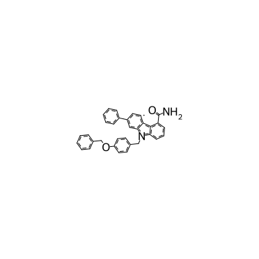 NC(=O)c1cccc2c1c1[c]cc(-c3ccccc3)cc1n2Cc1ccc(OCc2ccccc2)cc1